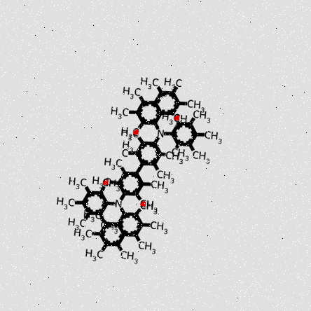 Cc1c(C)c(C)c(N(c2c(C)c(C)c(-c3c(C)c(C)c(N(c4c(C)c(C)c(C)c(C)c4C)c4c(C)c(C)c(C)c5c(C)c(C)c(C)c(C)c45)c(C)c3C)c(C)c2C)c2c(C)c(C)c(C)c3c(C)c(C)c(C)c(C)c23)c(C)c1C